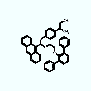 CCC(C)c1ccc(OC(OCCOc2c(-c3ccccc3)cccc2-c2ccccc2)c2c3ccccc3cc3ccccc23)cc1